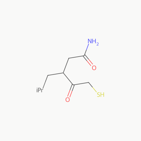 CC(C)CC(CC(N)=O)C(=O)CS